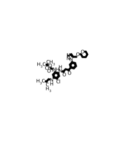 CC(C)CNc1cc(NC(=O)OC(C)(C)C)c(NC(=O)CC(=O)c2cccc(-n3nncc3COC3CCCCO3)c2)cc1Cl